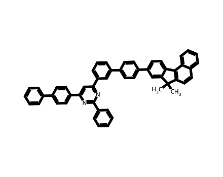 CC1(C)c2cc(-c3ccc(-c4cccc(-c5cc(-c6ccc(-c7ccccc7)cc6)nc(-c6ccccc6)n5)c4)cc3)ccc2-c2c1ccc1ccccc21